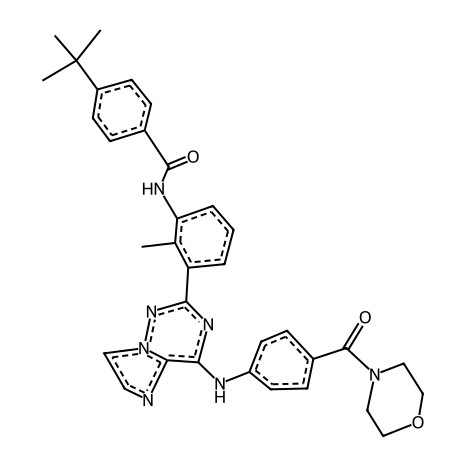 Cc1c(NC(=O)c2ccc(C(C)(C)C)cc2)cccc1-c1nc(Nc2ccc(C(=O)N3CCOCC3)cc2)c2nccn2n1